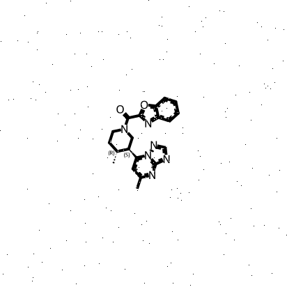 Cc1cc([C@@H]2CN(C(=O)c3nc4ccccc4o3)CC[C@H]2C)n2ncnc2n1